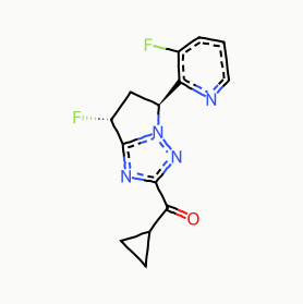 O=C(c1nc2n(n1)[C@H](c1ncccc1F)C[C@H]2F)C1CC1